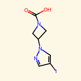 O=C(O)N1CC(n2cc(I)cn2)C1